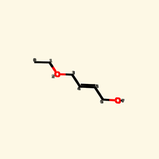 CCOCC=CC[O]